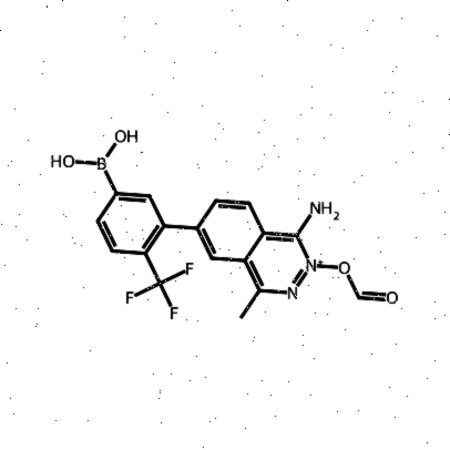 Cc1n[n+](OC=O)c(N)c2ccc(-c3cc(B(O)O)ccc3C(F)(F)F)cc12